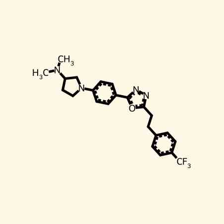 CN(C)C1CCN(c2ccc(-c3nnc(CCc4ccc(C(F)(F)F)cc4)o3)cc2)C1